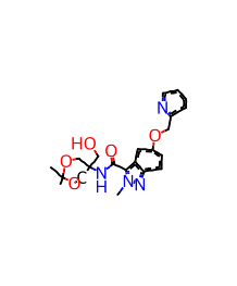 Cn1nc2ccc(OCc3ccccn3)cc2c1C(=O)NC1(CO)COC(C)(C)OC1